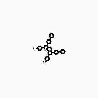 Brc1ccc(-c2cc(-c3ccc(-c4ccccc4)cc3)c3ccc4c(-c5ccc(-c6ccccc6)cc5)cc(-c5ccc(Br)cc5)nc4c3n2)cc1